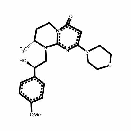 COc1ccc([C@@H](O)CN2c3nc(N4CCOCC4)cc(=O)n3CC[C@H]2C(F)(F)F)cc1